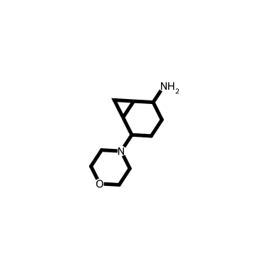 NC1CCC(N2CCOCC2)C2CC12